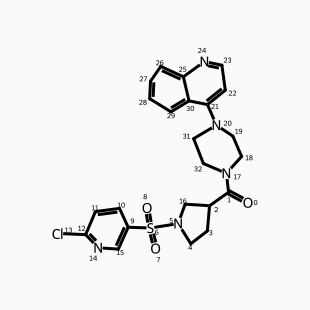 O=C(C1CCN(S(=O)(=O)c2ccc(Cl)nc2)C1)N1CCN(c2ccnc3ccccc23)CC1